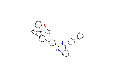 c1ccc(-c2ccc(C3NC(c4ccc(-c5ccc6c(c5)C5(c7ccccc7Oc7ccccc75)c5ccccc5-6)cc4)Nc4ccccc43)cc2)cc1